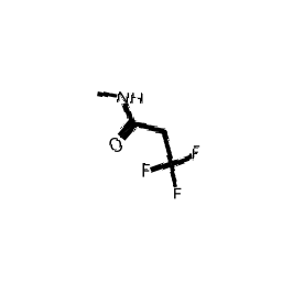 CNC(=O)CC(F)(F)F